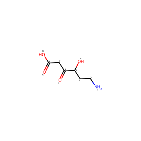 NCCC(O)C(=O)CC(=O)O